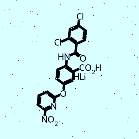 O=C(Nc1ccc(Oc2cccc([N+](=O)[O-])n2)cc1C(=O)O)c1ccc(Cl)cc1Cl.[LiH]